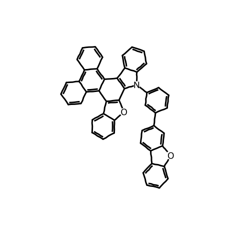 c1cc(-c2ccc3c(c2)oc2ccccc23)cc(-n2c3ccccc3c3c4c5ccccc5c5ccccc5c4c4c5ccccc5oc4c32)c1